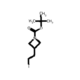 CC(C)(C)OC(=O)N1CC(CCI)C1